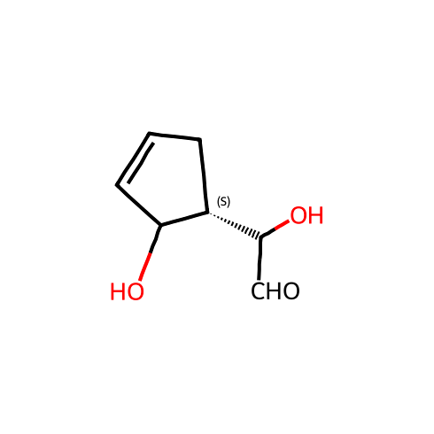 O=CC(O)[C@H]1CC=CC1O